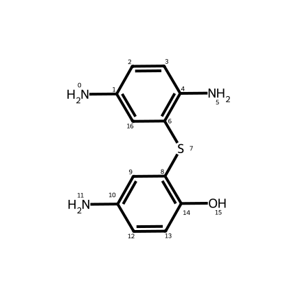 Nc1ccc(N)c(Sc2cc(N)ccc2O)c1